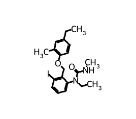 CCc1ccc(OCc2c(I)cccc2N(CC)C(=O)NC)c(C)c1